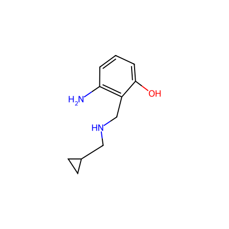 Nc1cccc(O)c1CNCC1CC1